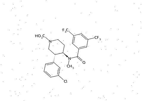 CN(C(=O)c1cc(C(F)(F)F)cc(C(F)(F)F)c1)[C@@H]1CCN(C(=O)O)C[C@H]1c1cccc(Cl)c1